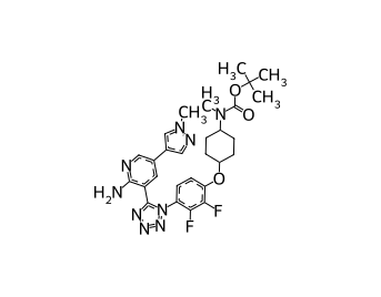 CN(C(=O)OC(C)(C)C)C1CCC(Oc2ccc(-n3nnnc3-c3cc(-c4cnn(C)c4)cnc3N)c(F)c2F)CC1